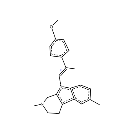 COc1ccc(/C(C)=C/n2c3c(c4cc(C)ccc42)CCN(C)C3)cc1